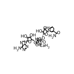 NC(=O)C1=CN([C@@H]2O[C@H](COP(=O)(O)OP(=O)(O)OC[C@H]3O[C@@H](n4cnc5c(N)ncnc54)[C@H](O)[C@@H]3O)[C@@H](O)[C@H]2O)C=CC1.[CaH2]